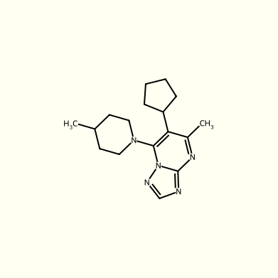 Cc1nc2ncnn2c(N2CCC(C)CC2)c1C1CCCC1